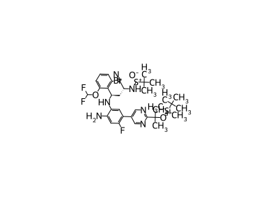 CC(C)(O[Si](C)(C)C(C)(C)C)c1ncc(-c2cc(N[C@H](C[C@H](C#N)N[S+]([O-])C(C)(C)C)c3c(Br)cccc3OC(F)F)c(N)cc2F)cn1